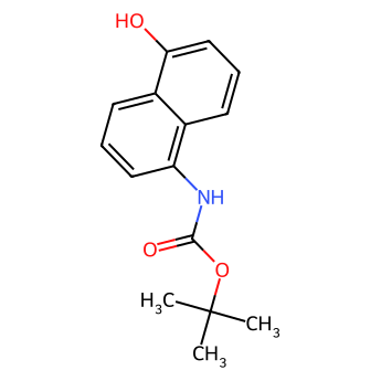 CC(C)(C)OC(=O)Nc1cccc2c(O)cccc12